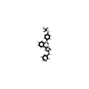 CN(c1ccc(OC(C)(C)F)cc1)c1ccccc1-c1nnn(Cc2cccnc2)n1